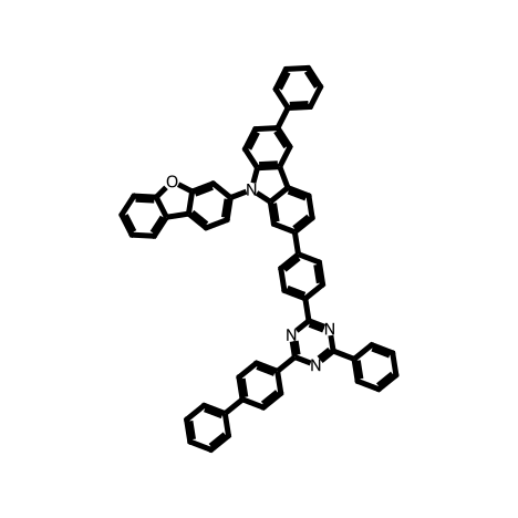 c1ccc(-c2ccc(-c3nc(-c4ccccc4)nc(-c4ccc(-c5ccc6c7cc(-c8ccccc8)ccc7n(-c7ccc8c(c7)oc7ccccc78)c6c5)cc4)n3)cc2)cc1